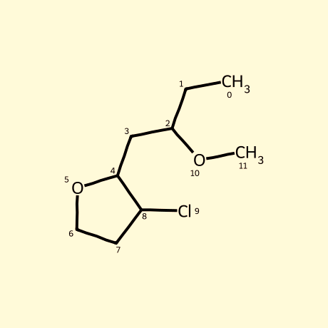 CCC(CC1OCCC1Cl)OC